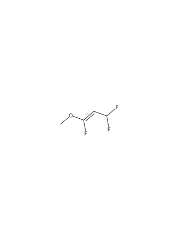 CO/C(F)=C/C(F)F